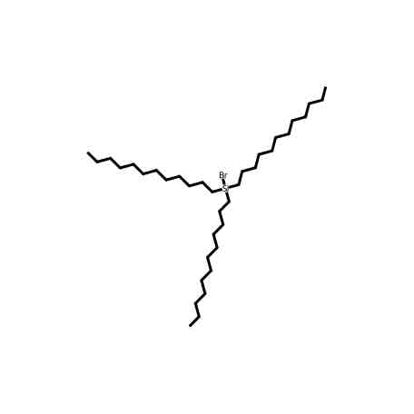 CCCCCCCCCCCC[Si](Br)(CCCCCCCCCCCC)CCCCCCCCCCCC